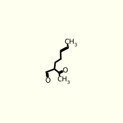 CC=CCCC(C=O)C(C)=O